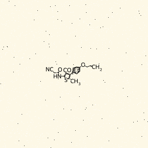 C=CCOc1ccc(-c2c(C)sc(NC(=O)CC#N)c2C(=O)OCC)cc1